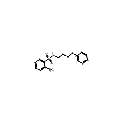 O=[N+]([O-])c1ccccc1S(=O)(=O)NCCCCc1ccccc1